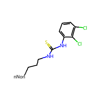 CCCCCCCCCCCCNC(=S)Nc1cccc(Cl)c1Cl